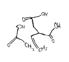 C=CC(C(=O)O)C(=O)O.CC(=O)O